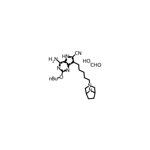 CCCCOc1nc(N)c2[nH]c(C#N)c(CCCCCN3CC4CCC(C3)N4C)c2n1.O=CO